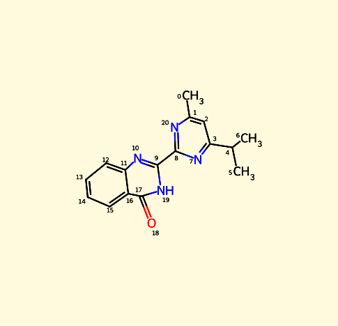 Cc1cc(C(C)C)nc(-c2nc3ccccc3c(=O)[nH]2)n1